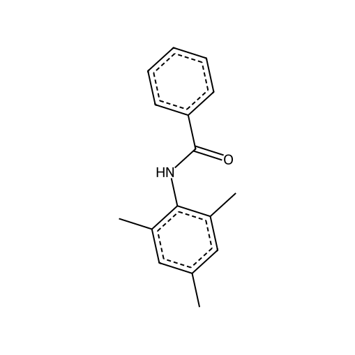 Cc1cc(C)c(NC(=O)c2ccccc2)c(C)c1